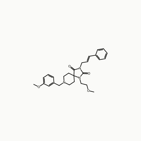 COCCN1C(=O)N(C/C=C/c2ccccc2)C(=O)C12CCN(Cc1cccc(OC)c1)CC2